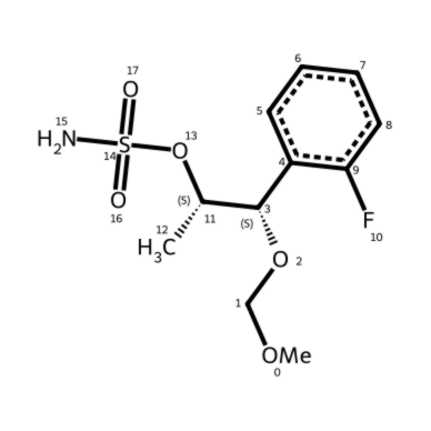 COCO[C@@H](c1ccccc1F)[C@H](C)OS(N)(=O)=O